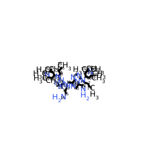 CCCCN(c1ncnc(C(CN(CCCN)c2ncnc(N(CCCC)C3CC(C)(C)N(C)C(C)(C)C3)n2)NCCCN)n1)C1CC(C)(C)N(C)C(C)(C)C1